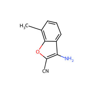 Cc1cccc2c(N)c(C#N)oc12